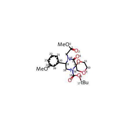 COC(=O)CN1C(=O)C2(COCCO2)N(C(=O)OC(C)(C)C)CC1c1cccc(OC)c1